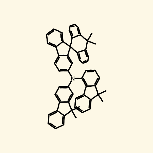 CC1(C)c2ccccc2-c2ccc(N(c3ccc4c(c3)C3(c5ccccc5-4)c4ccccc4C(C)(C)c4ccccc43)c3cccc4c3-c3ccccc3C4(C)C)cc21